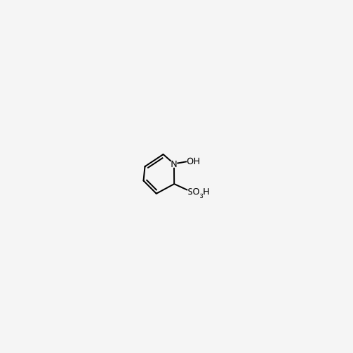 O=S(=O)(O)C1C=CC=CN1O